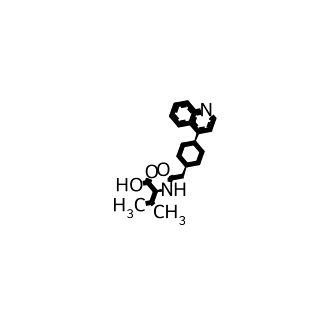 CC(C)[C@H](NC(=O)C[C@H]1CC[C@@H](c2ccnc3ccccc32)CC1)C(=O)O